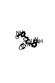 NC(=O)c1cccc(-c2cc3nc(-c4cccc5[nH]ncc45)nc(N4CCOCC4)c3s2)c1